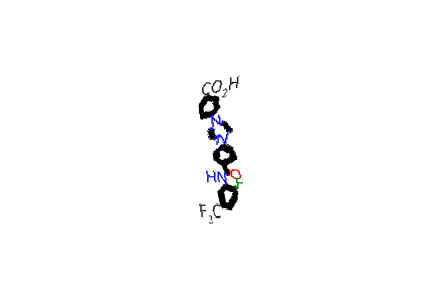 O=C(O)c1ccc(N2CCN(c3ccc(C(=O)Nc4cc(C(F)(F)F)ccc4F)cc3)CC2)cc1